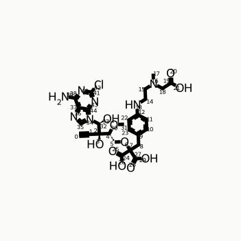 C#C[C@@](O)([C@@H](COC(Cc1ccc(NCCN(C)CC(=O)O)cc1)(C(=O)O)C(=O)O)OC)[C@@H](O)n1cnc2c(N)nc(Cl)nc21